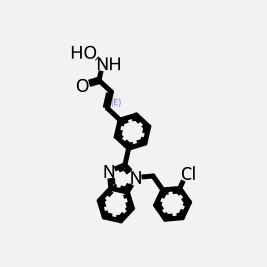 O=C(/C=C/c1cccc(-c2nc3ccccc3n2Cc2ccccc2Cl)c1)NO